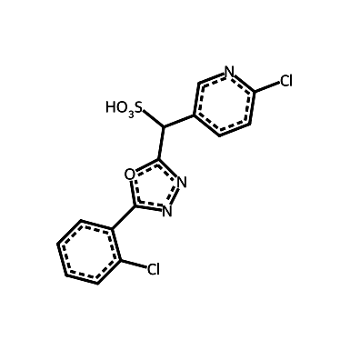 O=S(=O)(O)C(c1ccc(Cl)nc1)c1nnc(-c2ccccc2Cl)o1